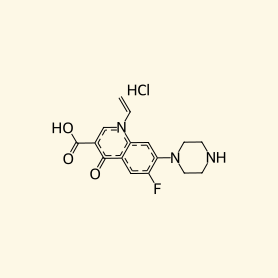 C=Cn1cc(C(=O)O)c(=O)c2cc(F)c(N3CCNCC3)cc21.Cl